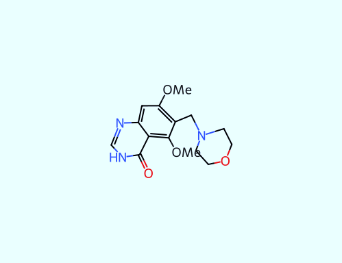 COc1cc2nc[nH]c(=O)c2c(OC)c1CN1CCOCC1